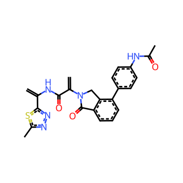 C=C(NC(=O)C(=C)N1Cc2c(cccc2-c2ccc(NC(C)=O)cc2)C1=O)c1nnc(C)s1